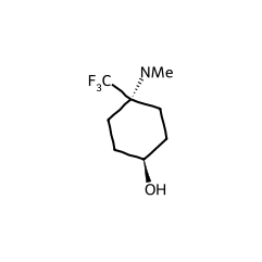 CN[C@]1(C(F)(F)F)CC[C@@H](O)CC1